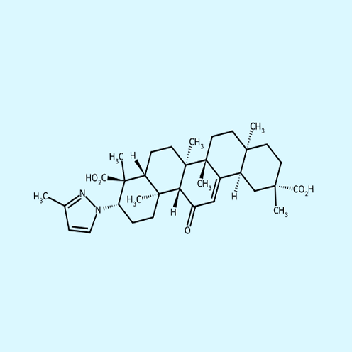 Cc1ccn([C@H]2CC[C@@]3(C)[C@@H](CC[C@]4(C)[C@@H]3C(=O)C=C3[C@@H]5C[C@@](C)(C(=O)O)CC[C@]5(C)CC[C@]34C)[C@]2(C)C(=O)O)n1